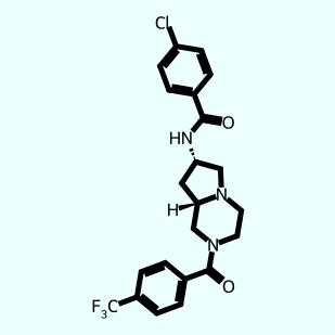 O=C(N[C@H]1C[C@H]2CN(C(=O)c3ccc(C(F)(F)F)cc3)CCN2C1)c1ccc(Cl)cc1